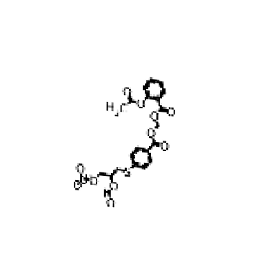 CC(=O)Oc1ccccc1C(=O)OCOC(=O)c1ccc(SCC(CO[N+](=O)[O-])ON=O)cc1